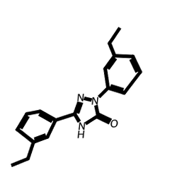 CCc1cccc(-c2nn(-c3cccc(CC)c3)c(=O)[nH]2)c1